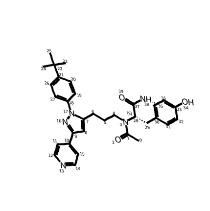 CC(=O)N(CCCc1cc(-c2ccncc2)nn1-c1ccc(C(C)(C)C)cc1)[C@@H](Cc1ccc(O)cc1)C(N)=O